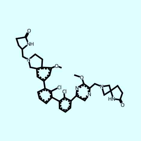 COc1cc(-c2cccc(-c3cccc(-c4cnc(CN5CC6(CCC(=O)N6)C5)c(OC)n4)c3Cl)c2Cl)cc2c1CCN(CC1CCC(=O)N1)C2